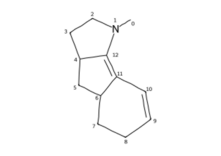 CN1CCC2CC3CCC=CC3=C21